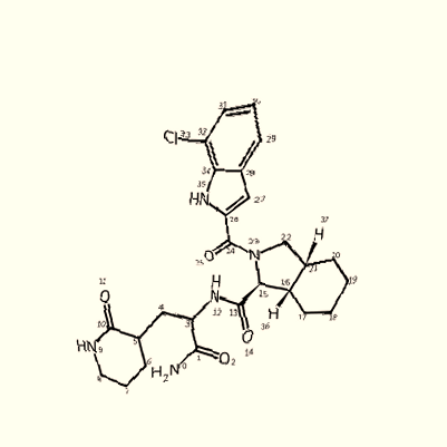 NC(=O)C(CC1CCCNC1=O)NC(=O)[C@@H]1[C@H]2CCCC[C@H]2CN1C(=O)c1cc2cccc(Cl)c2[nH]1